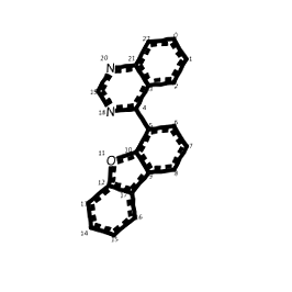 c1ccc2c(-c3cccc4c3oc3ccccc34)ncnc2c1